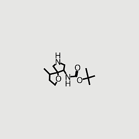 CC1CCOC12CNCC2NC(=O)OC(C)(C)C